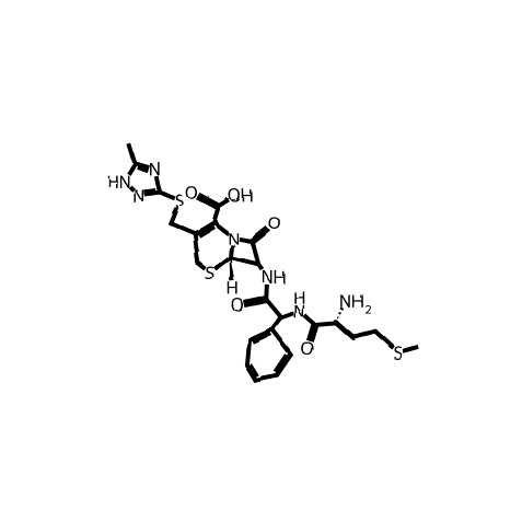 CSCC[C@@H](N)C(=O)NC(C(=O)NC1C(=O)N2C(C(=O)O)=C(CSc3n[nH]c(C)n3)CS[C@@H]12)c1ccccc1